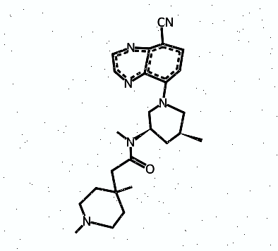 C[C@H]1C[C@@H](N(C)C(=O)CC2(C)CCN(C)CC2)CN(c2ccc(C#N)c3nccnc23)C1